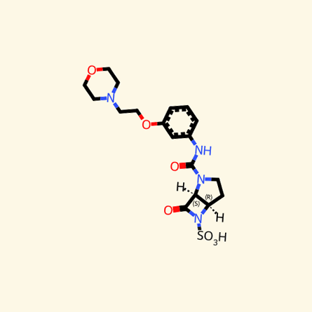 O=C(Nc1cccc(OCCN2CCOCC2)c1)N1CC[C@@H]2[C@H]1C(=O)N2S(=O)(=O)O